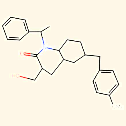 COc1ccc(CC2CCC3C(C2)CC(CO)C(=O)N3C(C)c2ccccc2)cc1